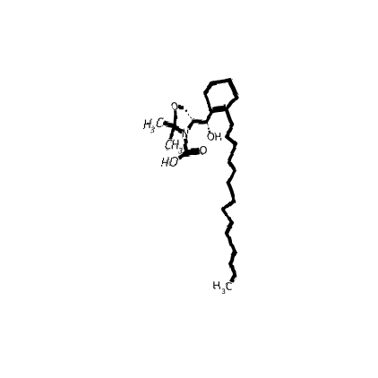 CCCCCCCCCCCCCCC1=C([C@H](O)[C@H]2COC(C)(C)N2C(=O)O)CCCC1